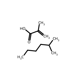 C=C(C)C(=O)O.CCCCC(C)C